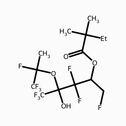 CCC(C)(C)C(=O)OC(CF)C(F)(F)C(O)(OC(C)(F)C(F)(F)F)C(F)(F)F